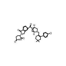 CC1(C)CCC(CN2C[C@H]3C[C@@H]2CN3C(=O)c2ccc3c(c2)CN(C2CCC(=O)NC2=O)C3=O)=C(c2ccc(Cl)cc2)C1